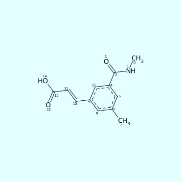 CNC(=O)c1cc(C)cc(C=CC(=O)O)c1